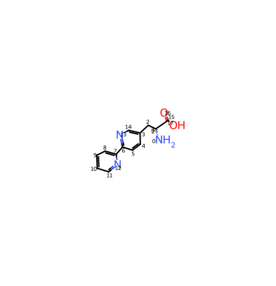 N[C@H](Cc1ccc(-c2ccccn2)nc1)C(=O)O